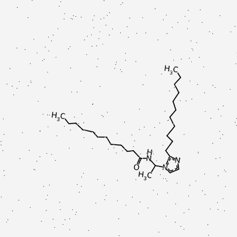 CCCCCCCCCCCC(=O)NC(C)n1ccnc1CCCCCCCCCCC